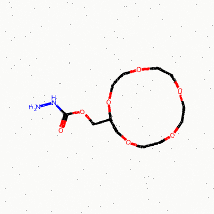 NNC(=O)OCC1COCCOCCOCCOCCO1